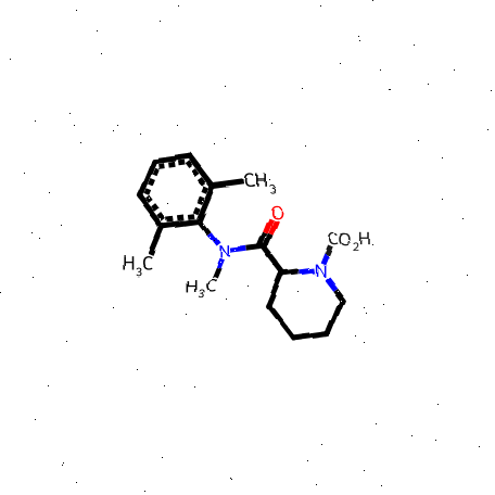 Cc1cccc(C)c1N(C)C(=O)C1CCCCN1C(=O)O